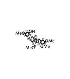 COCCN1C(=O)N(Cc2cc(OC)cc(OC)c2)C(=O)C12CCN(Cc1cc(O)cc(OC)c1)CC2